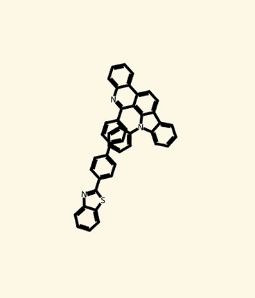 c1ccc(-n2c3ccccc3c3ccc4c5ccccc5nc(-c5ccc(-c6ccc(-c7nc8ccccc8s7)cc6)cc5)c4c32)cc1